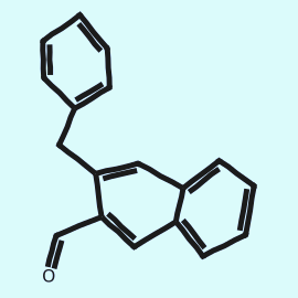 O=Cc1cc2ccccc2cc1Cc1ccccc1